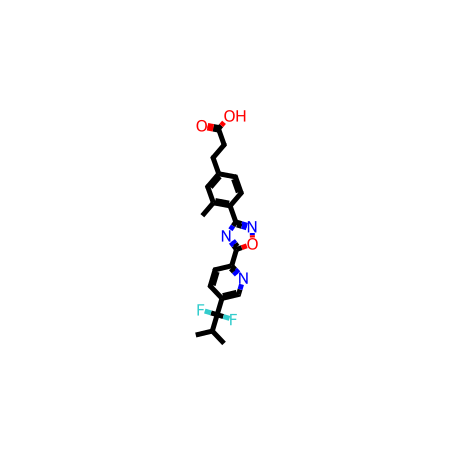 Cc1cc(CCC(=O)O)ccc1-c1noc(-c2ccc(C(F)(F)C(C)C)cn2)n1